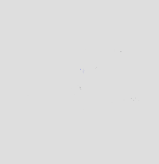 COc1ccc(/C=C(/CC(=O)O)C(=O)O)c(CN(CC(F)(F)F)C(=O)OC(C)(C)C)c1